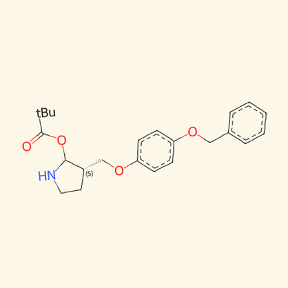 CC(C)(C)C(=O)OC1NCC[C@H]1COc1ccc(OCc2ccccc2)cc1